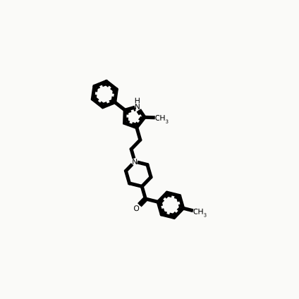 Cc1ccc(C(=O)C2CCN(CCc3cc(-c4ccccc4)[nH]c3C)CC2)cc1